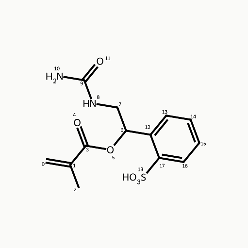 C=C(C)C(=O)OC(CNC(N)=O)c1ccccc1S(=O)(=O)O